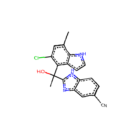 Cc1cc(Cl)c(C(C)(O)c2nc3cc(C#N)ccc3[nH]2)c2cc[nH]c12